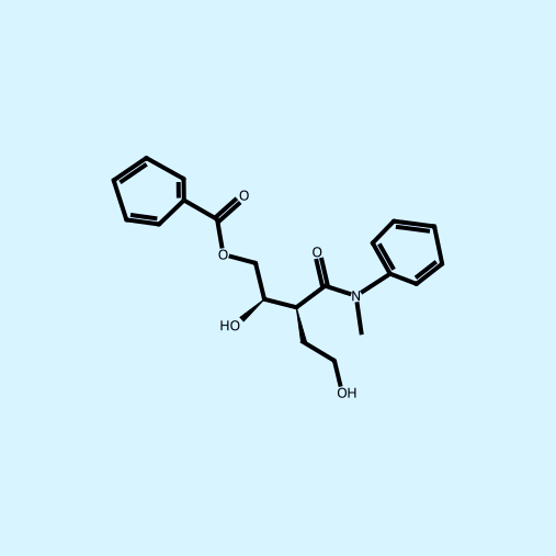 CN(C(=O)[C@@H](CCO)[C@@H](O)COC(=O)c1ccccc1)c1ccccc1